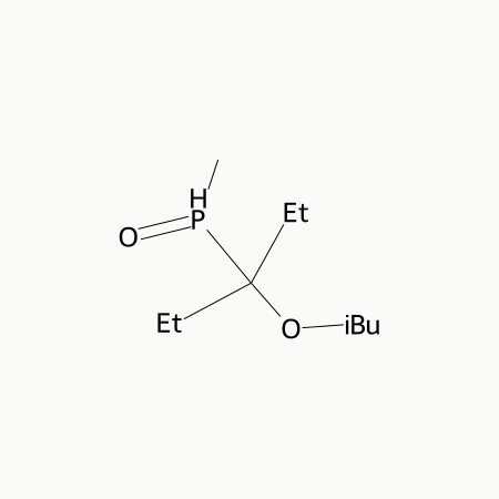 CCC(C)OC(CC)(CC)[PH](C)=O